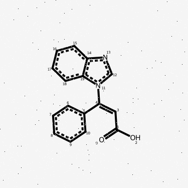 O=C(O)C=C(c1ccccc1)n1cnc2ccccc21